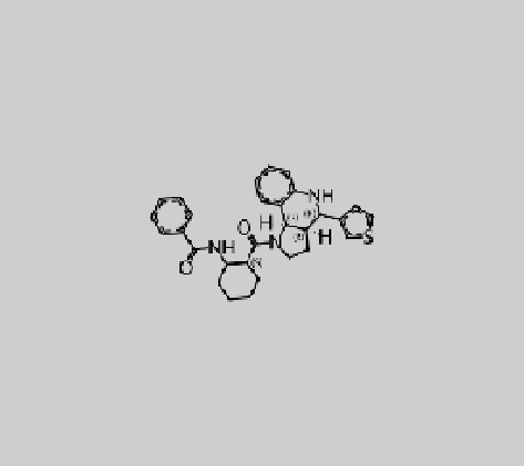 O=C(NC1CCCC[C@@H]1C(=O)N1CC[C@@H]2[C@H](c3ccsc3)Nc3ccccc3[C@@H]21)c1ccccc1